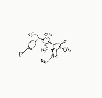 CCC(c1ccc(C2CC2)cc1)N1C[C@H](C)N(c2cc(=O)n(C)c3cn(CC#N)nc23)C[C@H]1C